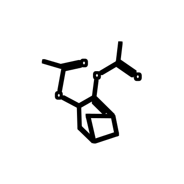 CC(=O)OC1=C2CC(C2)CC1OC(C)=O